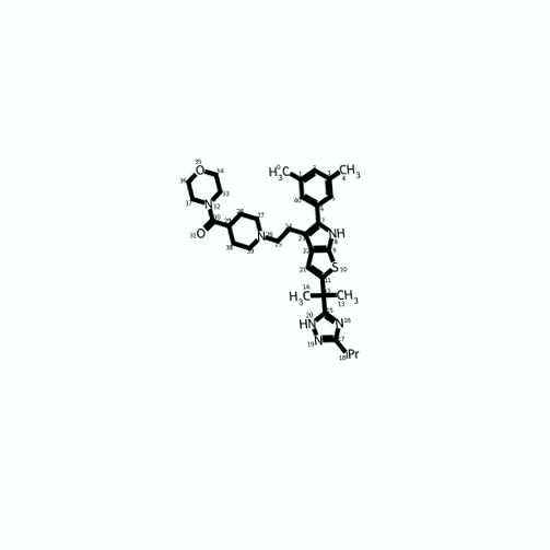 Cc1cc(C)cc(-c2[nH]c3sc(C(C)(C)c4nc(C(C)C)n[nH]4)cc3c2CCN2CCC(C(=O)N3CCOCC3)CC2)c1